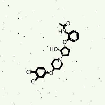 CC(=O)Nc1ccccc1O[C@@H]1CC[C@@H](N2CCC(Oc3ccc(Cl)c(Cl)c3)CC2)[C@H]1O